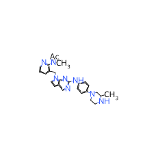 CC(=O)N(C)c1ncccc1Cn1ccc2cnc(Nc3ccc(N4CCNC(C)C4)cc3)nc21